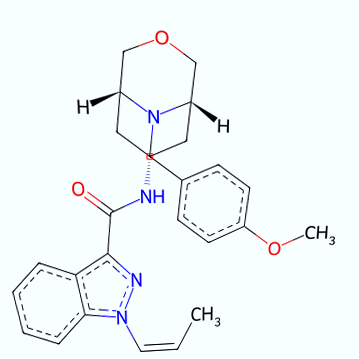 C/C=C\n1nc(C(=O)N[C@H]2C[C@H]3COC[C@@H](C2)N3Cc2ccc(OC)cc2)c2ccccc21